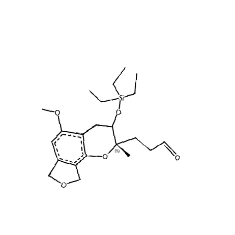 CC[Si](CC)(CC)OC1Cc2c(OC)cc3c(c2O[C@@]1(C)CCC=O)COC3